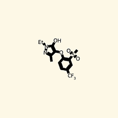 CCn1nc(C)c(Oc2ccc(C(F)(F)F)cc2S(C)(=O)=O)c1O